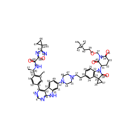 Cc1cc(-c2ncnc3[nH]c4cc(N5CCN(CCc6ccc7c(c6)C6(CC6)C(=O)N7C6CCC(=O)N(COCC[Si](C)(C)C)C6=O)CC5)ccc4c23)ccc1[C@@H](C)NC(=O)c1nc(C2(C)CC2)no1